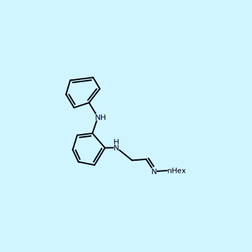 CCCCCCN=CCNc1ccccc1Nc1ccccc1